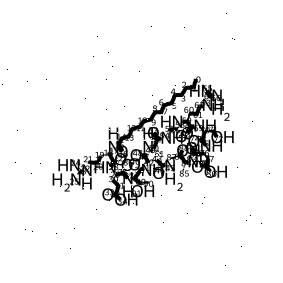 CCCCCCCCCCCCCCCC(=O)N[C@@H](CCCNC(=N)N)C(=O)N[C@@H](CCC(=O)O)C(=O)N[C@H](C(=O)N[C@@H](CC(N)=O)C(=O)N[C@@H](C)C(=O)NCC(=O)N[C@@H](CCCNC(=N)N)C(=O)N[C@@H](CO)C(=O)N[C@@H](CC(=O)O)C(=O)N[C@H](C)[C@@H](C)O)[C@@H](C)O